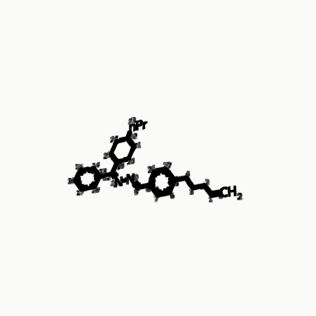 C=CCCCc1ccc(C=NN=C(c2ccccc2)C2CCC(CCC)CC2)cc1